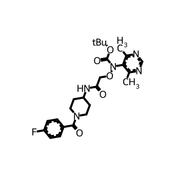 Cc1ncnc(C)c1N(OCC(=O)NC1CCN(C(=O)c2ccc(F)cc2)CC1)C(=O)OC(C)(C)C